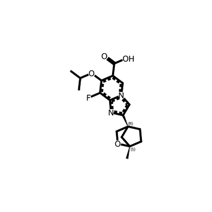 CC(C)Oc1c(C(=O)O)cn2cc([C@@]34CC[C@@](C)(C3)OC4)nc2c1F